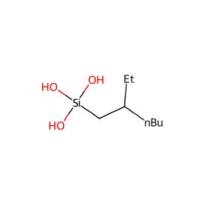 CCCCC(CC)C[Si](O)(O)O